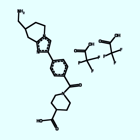 NCC1CCn2cc(-c3ccc(C(=O)N4CCC(C(=O)O)CC4)cc3)nc2C1.O=C(O)C(F)(F)F.O=C(O)C(F)(F)F